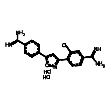 Cl.Cl.N=C(N)c1ccc(-c2cc(-c3ccc(C(=N)N)cc3Cl)no2)cc1